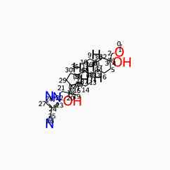 COC[C@@]1(O)CC[C@H]2[C@@H](CC[C@@H]3[C@@H]2CC[C@]2(C)[C@@H](C(C)(O)Cn4cc(C#N)cn4)CC[C@@H]32)C1